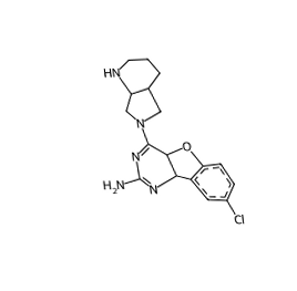 NC1=NC2c3cc(Cl)ccc3OC2C(N2CC3CCCNC3C2)=N1